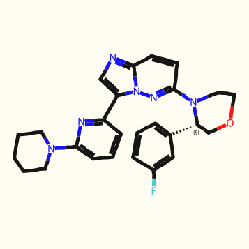 Fc1cccc([C@H]2COCCN2c2ccc3ncc(-c4cccc(N5CCCCC5)n4)n3n2)c1